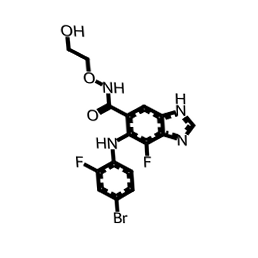 O=C(NOCCO)c1cc2[nH]cnc2c(F)c1Nc1ccc(Br)cc1F